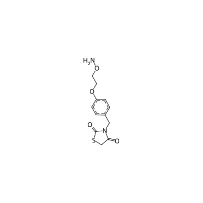 NOCCOc1ccc(CN2C(=O)CSC2=O)cc1